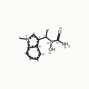 CC(c1cn(C)c2ccccc12)N(O)C(N)=O